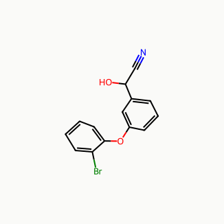 N#CC(O)c1cccc(Oc2ccccc2Br)c1